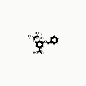 C[C@H](O)[C@H](C)Oc1cc(OCc2ccccc2)cc(C(=O)O)c1